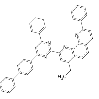 CCc1cc(-c2nc(C3=CCCC=C3)cc(-c3ccc(-c4ccccc4)cc3)n2)nc2c1ccc1ccc(-c3ccccc3)nc12